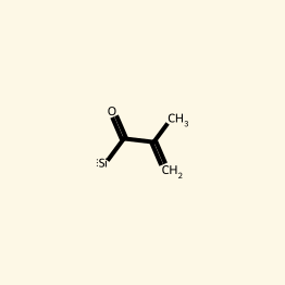 C=C(C)C(=O)[Si]